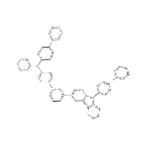 c1ccc(-c2ccc(N(c3ccccc3)c3ccc(-c4cccc(-c5ccc6c(c5)c5ccccc5n6-c5ccc(-c6ccccc6)cc5)c4)cc3)cc2)cc1